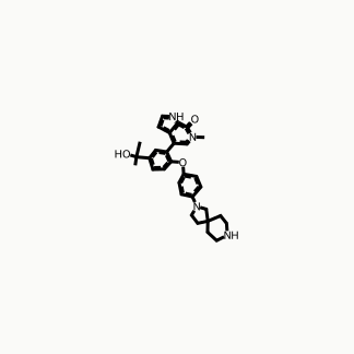 Cn1cc(-c2cc(C(C)(C)O)ccc2Oc2ccc(N3CCC4(CCNCC4)C3)cc2)c2cc[nH]c2c1=O